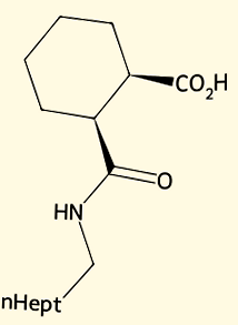 CCCCCCCCNC(=O)[C@H]1CCCC[C@H]1C(=O)O